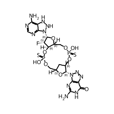 Nc1nc2c(nnn2[C@@H]2O[C@@H]3COP(O)(=S)O[C@H]4[C@H](F)[C@H](N5NNc6c(N)ncnc65)O[C@@H]4COP(O)(=S)O[C@@H]2C3)c(=O)[nH]1